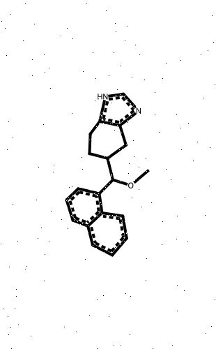 COC(c1cccc2ccccc12)C1CCc2[nH]cnc2C1